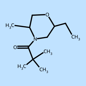 CCC1CN(C(=O)C(C)(C)C)C(C)CO1